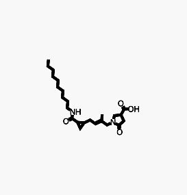 CCCCCCCCCCNC(=O)C1CC1C/C=C(\C)CN1CC(C(=O)O)CC1=O